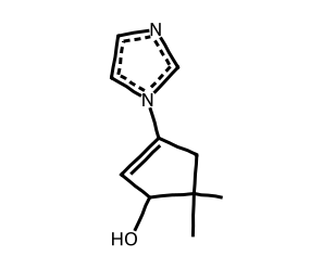 CC1(C)CC(n2ccnc2)=CC1O